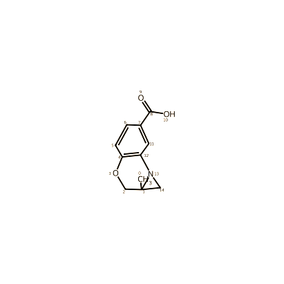 CC12COc3ccc(C(=O)O)cc3N1C2